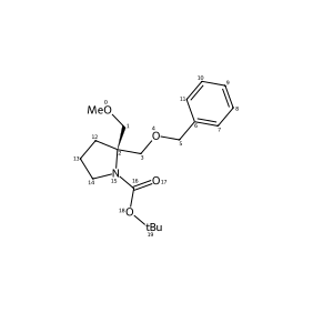 COC[C@]1(COCc2ccccc2)CCCN1C(=O)OC(C)(C)C